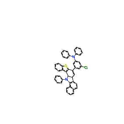 Clc1cc(C2=CC3c4ccc5ccccc5c4N(c4ccccc4)C3c3c2sc2ccccc32)cc(N(c2ccccc2)c2ccccc2)c1